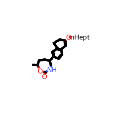 CCCCCCCOC1=Cc2ccc(C3CCC(C)OC(=O)NC3)cc2CC1